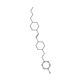 CCCCC1CCC(/C=C/C2CCC(CCc3ccc(F)cc3)CC2)CC1